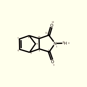 [2H]N1C(=O)C2C3C=CC(C3)C2C1=O